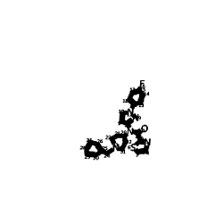 O=C(c1nccs1)N(c1ccn(-c2ccc(F)cc2)n1)C1CCN(Cc2ccccc2)CC1